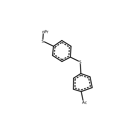 CCCSc1ccc(Sc2ccc(C(C)=O)cc2)cc1